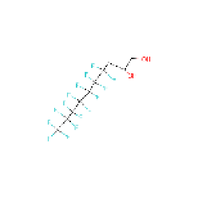 OCC(O)CC(F)(F)C(F)(F)C(F)(F)C(F)(F)C(F)(F)C(F)(F)C(F)(F)F